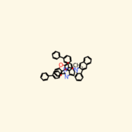 CC1C/C=C(c2c(-n3c4ccccc4c4cc5ccccc5cc43)ccc3oc4ccccc4c23)/N=C(c2ccc(-c3ccccc3)cc2)\N=C/1c1cccc(-c2ccccc2)c1